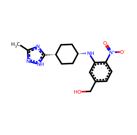 Cc1n[nH]c([C@H]2CC[C@@H](Nc3cc(CO)ccc3[N+](=O)[O-])CC2)n1